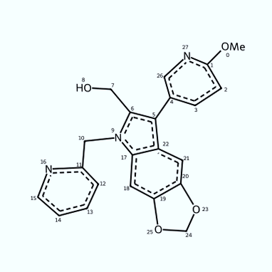 COc1ccc(-c2c(CO)n(Cc3ccccn3)c3cc4c(cc23)OCO4)cn1